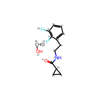 O=C(NCCc1cccc(F)c1F)C1CC1.O=CO